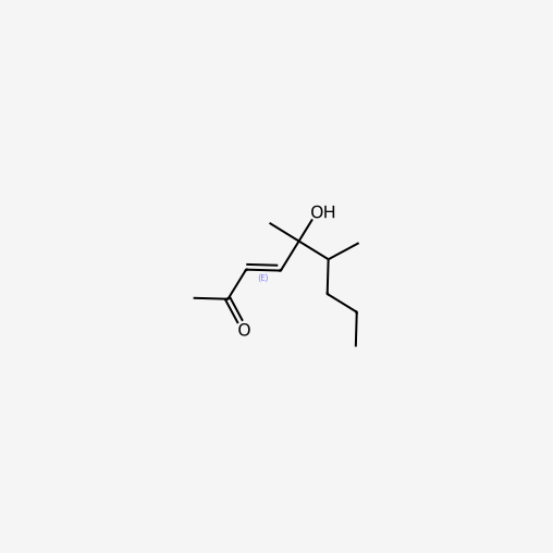 CCCC(C)C(C)(O)/C=C/C(C)=O